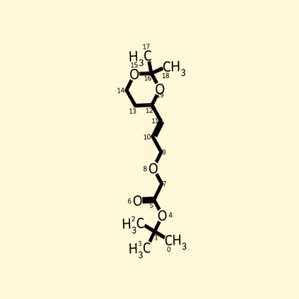 CC(C)(C)OC(=O)COCC=CC1CCOC(C)(C)O1